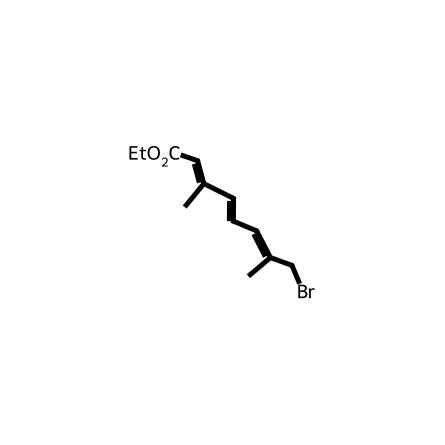 CCOC(=O)/C=C(C)/C=C/C=C(\C)CBr